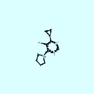 CC(C)c1c(C2CC2)ncnc1N1CCCC1